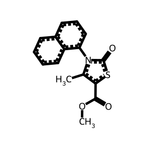 COC(=O)c1sc(=O)n(-c2cccc3ccccc23)c1C